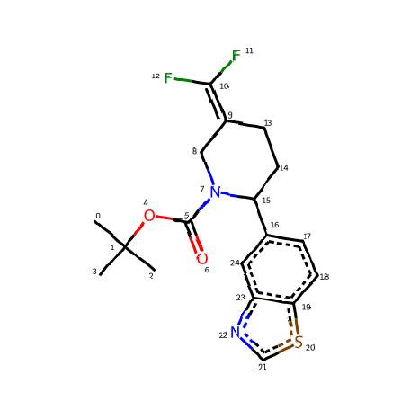 CC(C)(C)OC(=O)N1CC(=C(F)F)CCC1c1ccc2scnc2c1